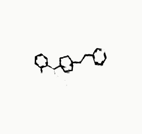 Cl.Cl.O[C@@H](c1ccccc1F)C12CCC(CCc3cccnc3)(CC1)N2